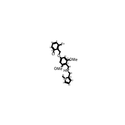 COc1cc(OCc2c(F)cccc2Cl)cc(OC)c1CNCc1cccn1C